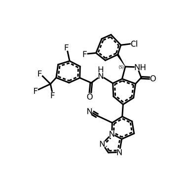 N#Cc1c(-c2cc(NC(=O)c3cc(F)cc(C(F)(F)F)c3)c3c(c2)C(=O)N[C@@H]3c2cc(F)ccc2Cl)ccc2ncnn12